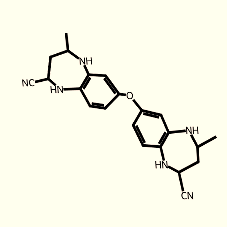 CC1CC(C#N)Nc2ccc(Oc3ccc4c(c3)NC(C)CC(C#N)N4)cc2N1